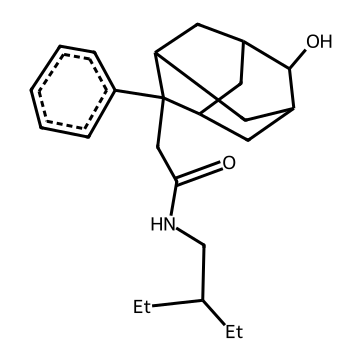 CCC(CC)CNC(=O)CC1(c2ccccc2)C2CC3CC1CC(C2)C3O